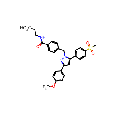 CS(=O)(=O)c1ccc(-c2cc(-c3ccc(OC(F)(F)F)cc3)nn2Cc2ccc(C(=O)NCCC(=O)O)cc2)cc1